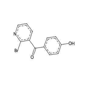 O=C(c1ccc(O)cc1)c1cccnc1Br